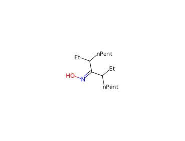 CCCCCC(CC)C(=NO)C(CC)CCCCC